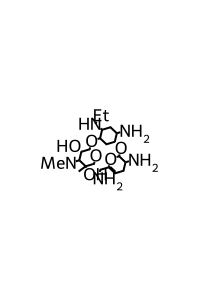 CCNC1CC(N)C(OC2OC(CN)=CCC2N)CC1OC1OCC(C)(O)C(NC)C1O